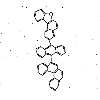 c1ccc2c(c1)ccc1cc(-c3c4ccccc4c(-c4ccc5c(ccc6oc7ccccc7c65)c4)c4ccccc34)c3ccccc3c12